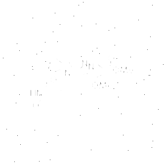 COC(=O)c1cc(OC)c2c(C)c(-c3cc4cccc(OC[C@H]5CCC(=O)N5)c4n3CC3CC3)nn2c1